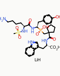 CS(=O)(=O)N[C@@H](CCCCN)C(=O)N[C@@H](Cc1ccc(O)cc1)P(=O)(O)CC1(C(=O)N[C@@H](Cc2c[nH]c3ccccc23)C(=O)O)CCCC1.[LiH]